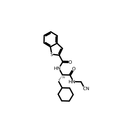 N#CCNC(=O)[C@H](CC1CCCCC1)NC(=O)c1cc2ccccc2s1